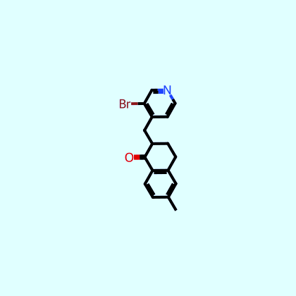 Cc1ccc2c(c1)CCC(Cc1ccncc1Br)C2=O